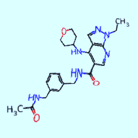 CCn1ncc2c(NC3CCOCC3)c(C(=O)NCc3cccc(CNC(C)=O)c3)cnc21